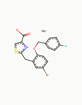 O=C([O-])c1csc(Cc2cc(Br)ccc2OCc2ccc(F)cc2)n1.[Na+]